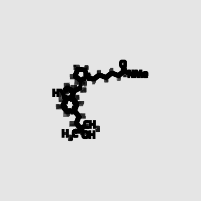 CNC(=O)CCCCCN1CCC[C@@H]1Cc1c[nH]c2ccc(CCC(C)(C)O)cc12